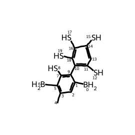 Bc1cc(C)c(B)c(S)c1-c1c(S)cc(S)c(S)c1S